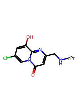 CCCNCc1cc(=O)n2cc(Cl)cc(O)c2n1